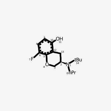 CCCN([C@H]1COc2c(F)ccc(O)c2C1)C(C)(C)C